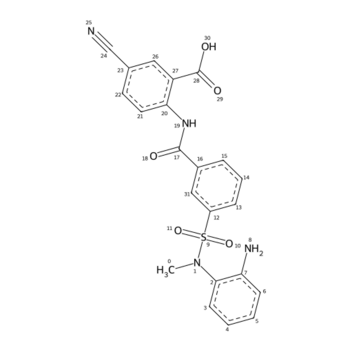 CN(c1ccccc1N)S(=O)(=O)c1cccc(C(=O)Nc2ccc(C#N)cc2C(=O)O)c1